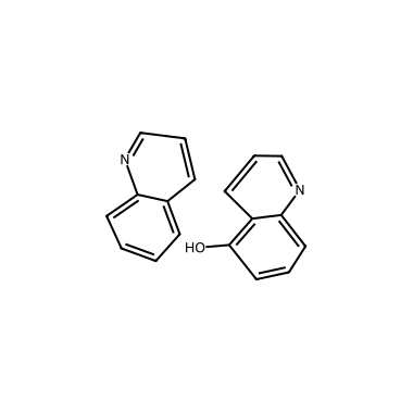 Oc1cccc2ncccc12.c1ccc2ncccc2c1